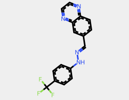 FC(F)(F)c1ccc(NN=Cc2ccc3nccnc3c2)cc1